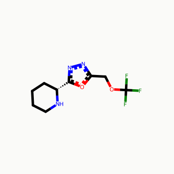 FC(F)(F)OCc1nnc([C@H]2CCCCN2)o1